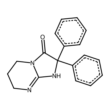 O=C1N2CCCN=C2NC1(c1ccccc1)c1ccccc1